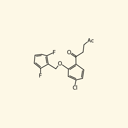 CC(=O)CCC(=O)c1ccc(Cl)cc1OCc1c(F)cccc1F